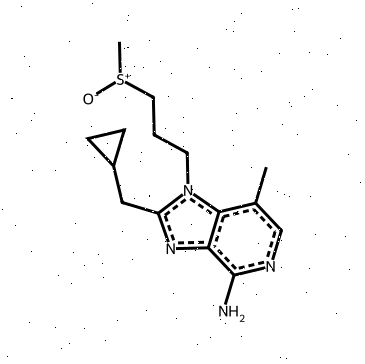 Cc1cnc(N)c2nc(CC3CC3)n(CCC[S+](C)[O-])c12